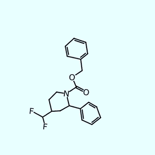 O=C(OCc1ccccc1)N1CCC(C(F)F)CC1c1ccccc1